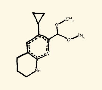 COC(OC)c1nc2c(cc1C1CC1)CCCN2